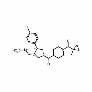 CC1(C(=O)N2CCC(C(=O)N3C[C@@H](CNC(=O)O)[C@@H](c4ccc(F)cc4)C3)CC2)CC1